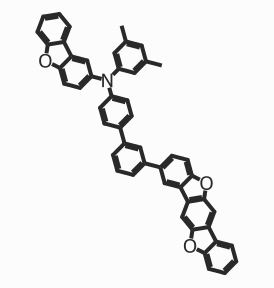 Cc1cc(C)cc(N(c2ccc(-c3cccc(-c4ccc5oc6cc7c(cc6c5c4)oc4ccccc47)c3)cc2)c2ccc3oc4ccccc4c3c2)c1